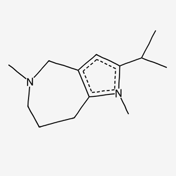 CC(C)c1cc2c(n1C)CCCN(C)C2